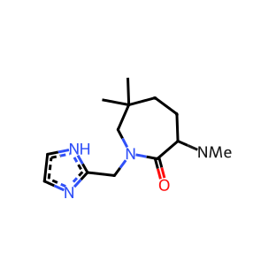 CNC1CCC(C)(C)CN(Cc2ncc[nH]2)C1=O